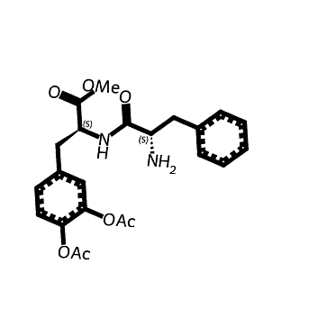 COC(=O)[C@H](Cc1ccc(OC(C)=O)c(OC(C)=O)c1)NC(=O)[C@@H](N)Cc1ccccc1